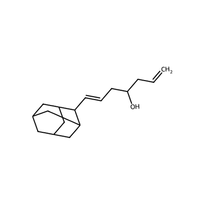 C=CCC(O)CC=CC1C2CC3CC(C2)CC1C3